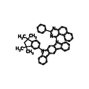 CC1(C)CC(C)(C)c2cc(-n3c4ccccc4c4cc5c6ccccc6n(-c6nc(-c7ccccc7)nc7ccc8ccccc8c67)c5cc43)ccc21